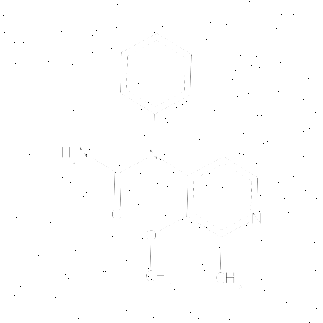 COc1c(N(C(N)=O)c2ccccc2)ccnc1C